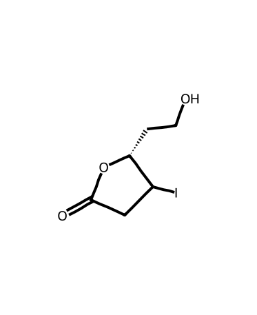 O=C1CC(I)[C@@H](CCO)O1